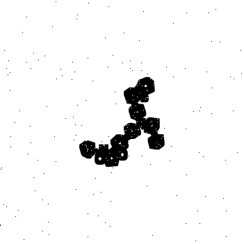 c1ccc(-c2cccc(N(c3ccc(-c4ccc5c(c4)oc4ccc6oc(-c7ccccc7)nc6c45)cc3)c3ccc(-c4cccc5c4sc4ccccc45)cc3)c2)cc1